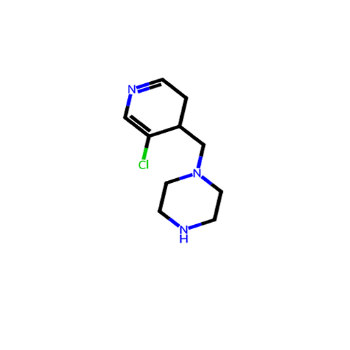 ClC1=CN=CCC1CN1CCNCC1